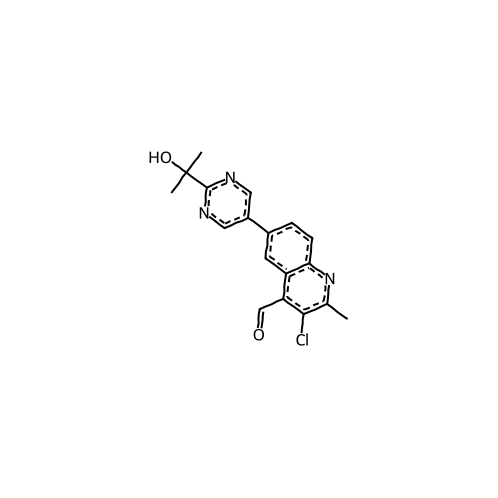 Cc1nc2ccc(-c3cnc(C(C)(C)O)nc3)cc2c(C=O)c1Cl